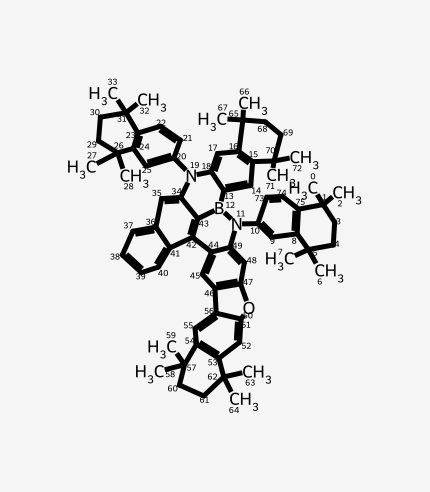 CC1(C)CCC(C)(C)c2cc(N3B4c5cc6c(cc5N(c5ccc7c(c5)C(C)(C)CCC7(C)C)c5cc7ccccc7c(c54)-c4cc5c(cc43)oc3cc4c(cc35)C(C)(C)CCC4(C)C)C(C)(C)CCC6(C)C)ccc21